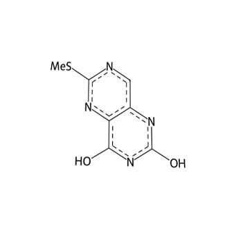 CSc1ncc2nc(O)nc(O)c2n1